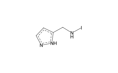 INCc1ccn[nH]1